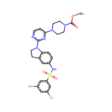 CC(C)(C)OC(=O)N1CCN(c2ccnc(N3CCc4cc(NS(=O)(=O)c5cc(Cl)cc(Cl)c5)ccc43)n2)CC1